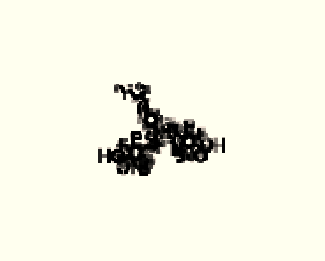 CCCCC(CC)COc1ccc(N(c2ccc(-c3c(F)c(F)c(C(=O)O)c4nsnc34)s2)c2ccc(-c3c(F)c(F)c(C(=O)O)c4nsnc34)s2)cc1